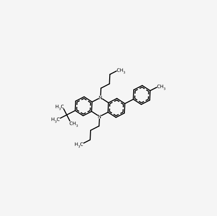 CCCCN1c2ccc(C(C)(C)C)cc2N(CCCC)c2ccc(-c3ccc(C)cc3)cc21